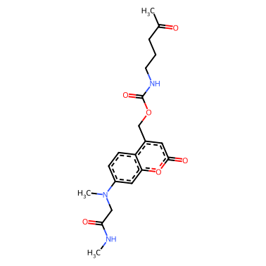 CNC(=O)CN(C)c1ccc2c(COC(=O)NCCCC(C)=O)cc(=O)oc2c1